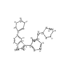 C1=C(c2ccc3[nH]nc(-c4cncc(OC5CCCNC5)n4)c3c2)CCOC1